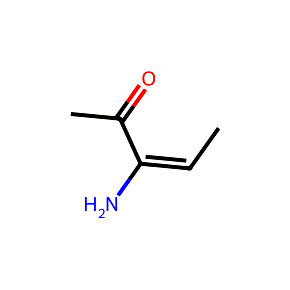 C/C=C(/N)C(C)=O